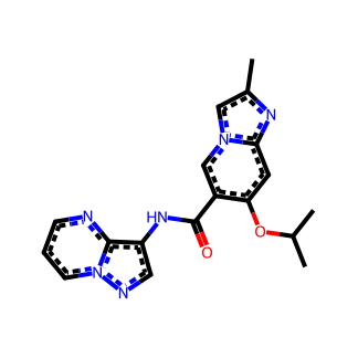 Cc1cn2cc(C(=O)Nc3cnn4cccnc34)c(OC(C)C)cc2n1